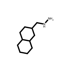 NNCC1CCC2CCCCC2C1